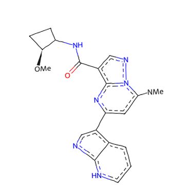 CNc1cc(-c2cnc3[nH]cccc2-3)nc2c(C(=O)NC3CC[C@@H]3OC)cnn12